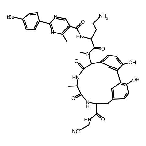 Cc1nc(-c2ccc(C(C)(C)C)cc2)ncc1C(=O)NC(CCN)C(=O)N(C)C1C(=O)NC(C)C(=O)NC(C(=O)NCC#N)Cc2ccc(O)c(c2)-c2cc1ccc2O